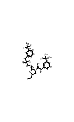 CCC1CN(C(=S)Nc2cccc(C(F)(F)F)c2)/C(=N/CC(C)(C)Cc2cccc(C(F)(F)F)c2)S1